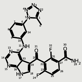 Cc1nnnn1-c1cccc(Nc2ncnc3[nH]cc(C(=O)c4c(F)ccc(C(N)=O)c4F)c23)c1